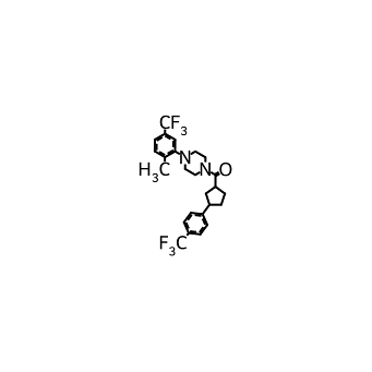 Cc1ccc(C(F)(F)F)cc1N1CCN(C(=O)C2CCC(c3ccc(C(F)(F)F)cc3)C2)CC1